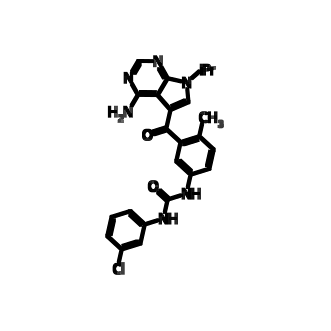 Cc1ccc(NC(=O)Nc2cccc(Cl)c2)cc1C(=O)c1cn(C(C)C)c2ncnc(N)c12